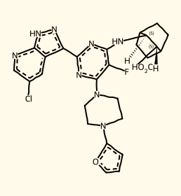 O=C(O)[C@H]1C2CCC(CC2)[C@@H]1Nc1nc(-c2n[nH]c3ncc(Cl)cc23)nc(N2CCN(c3ccco3)CC2)c1F